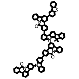 CC1(C)c2ccccc2-c2ccc3c4c(-c5ccc6c(c5)c(=O)n5c7ccccc7c7cc(-c8ccc9sc%10ccccc%10c9c8)cc6c75)cccc4n(-c4cc5c6ccc(-c7ccc8c(c7)c7ccccc7n8-c7ccc8c(c7)c7cccc9c%10ccccc%10c(=O)n8c97)cc6c(=O)n6c7ccccc7c(c4)c56)c3c21